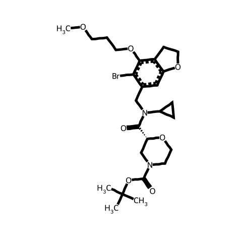 COCCCOc1c(Br)c(CN(C(=O)[C@H]2CN(C(=O)OC(C)(C)C)CCO2)C2CC2)cc2c1CCO2